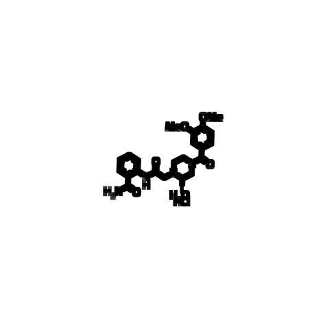 COc1ccc(C(=O)N2CCN(CC(=O)Nc3ccccc3C(N)=O)C(I)C2)cc1OC.Cl.O